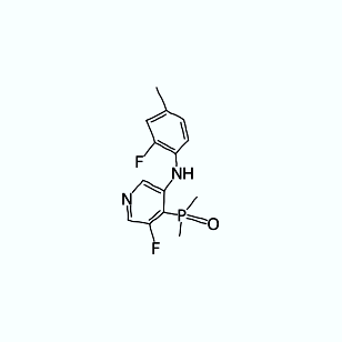 Cc1ccc(Nc2cncc(F)c2P(C)(C)=O)c(F)c1